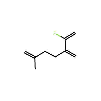 C=C(C)CCC(=C)C(=C)F